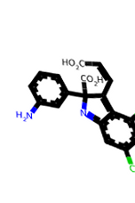 Nc1cccc(C2(C(=O)O)N=c3cc(Cl)cc(Cl)c3=C2/C=C\C(=O)O)c1